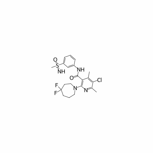 Cc1nc(N2CCCC(F)(F)CC2)c(C(=O)Nc2cccc(S(C)(=N)=O)c2)c(C)c1Cl